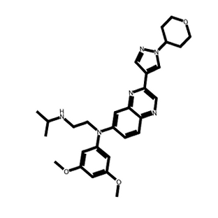 COc1cc(OC)cc(N(CCNC(C)C)c2ccc3ncc(-c4cnn(C5CCOCC5)c4)nc3c2)c1